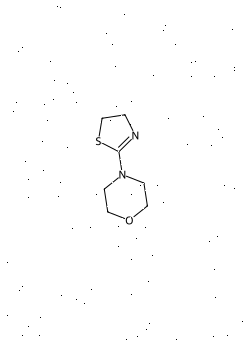 C1CSC(N2CCOCC2)=N1